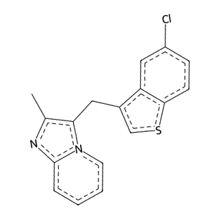 Cc1nc2ccccn2c1Cc1csc2ccc(Cl)cc12